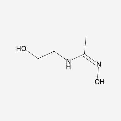 C/C(=N/O)NCCO